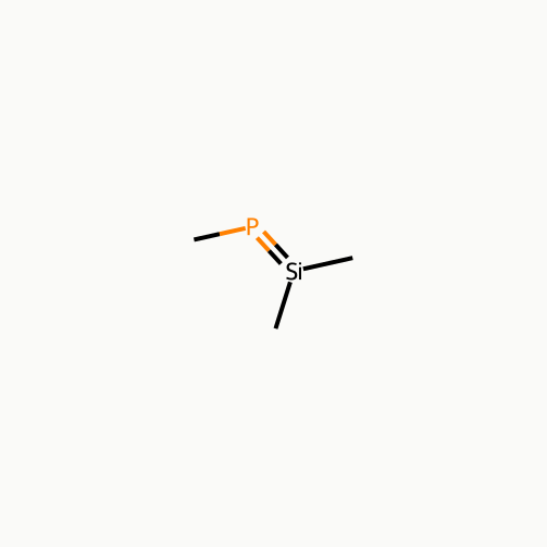 CP=[Si](C)C